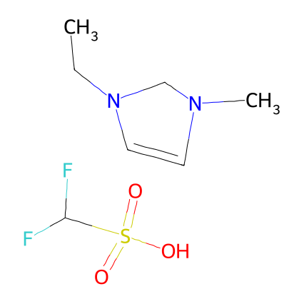 CCN1C=CN(C)C1.O=S(=O)(O)C(F)F